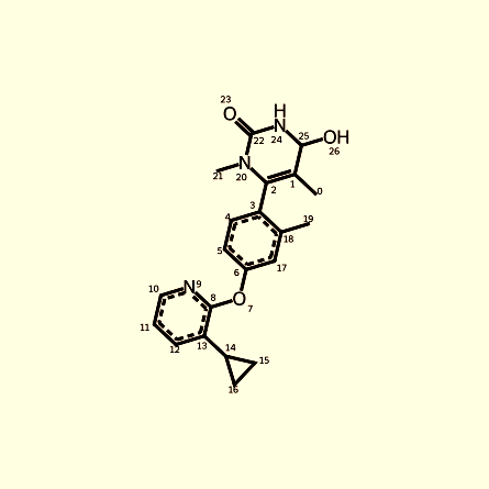 CC1=C(c2ccc(Oc3ncccc3C3CC3)cc2C)N(C)C(=O)NC1O